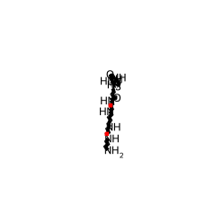 NCCCNCCCNCCCCNCCCNC(=O)CCC[C@@H]1SC[C@@H]2NC(=O)N[C@@H]21